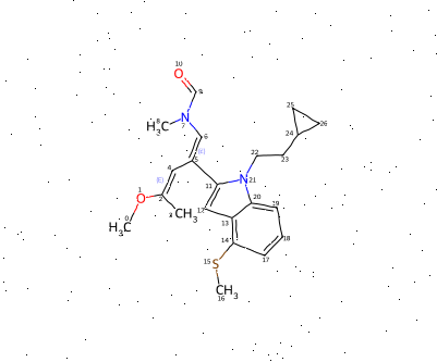 CO/C(C)=C/C(=C\N(C)C=O)c1cc2c(SC)cccc2n1CCC1CC1